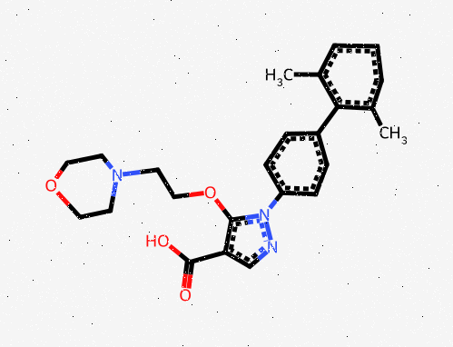 Cc1cccc(C)c1-c1ccc(-n2ncc(C(=O)O)c2OCCN2CCOCC2)cc1